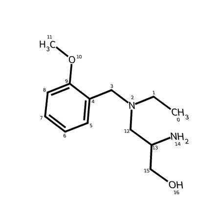 CCN(Cc1ccccc1OC)CC(N)CO